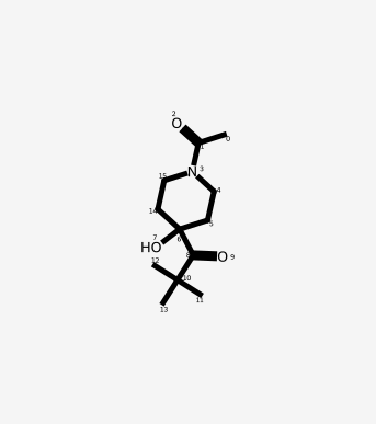 CC(=O)N1CCC(O)(C(=O)C(C)(C)C)CC1